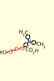 COCCOCCOCCOc1ccc(N(c2ccc(C)cc2)c2ccc(C)cc2)cc1C(=O)O